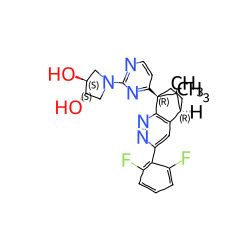 CC1(C)[C@H]2CC[C@@]1(c1ccnc(N3C[C@H](O)[C@@H](O)C3)n1)c1nnc(-c3c(F)cccc3F)cc12